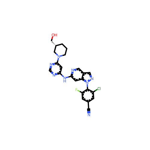 N#Cc1cc(F)c(-n2ncc3cnc(Nc4cc(N5CCC[C@@H](CO)C5)ncn4)cc32)c(Cl)c1